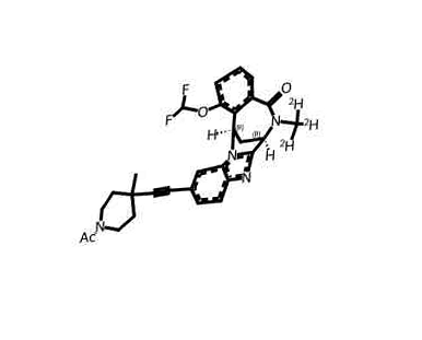 [2H]C([2H])([2H])N1C(=O)c2cccc(OC(F)F)c2[C@H]2C[C@@H]1c1nc3ccc(C#CC4(C)CCN(C(C)=O)CC4)cc3n12